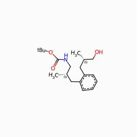 C[C@H](CO)Cc1ccccc1C[C@H](C)CNC(=O)OC(C)(C)C